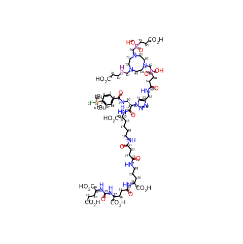 CC(C)(C)S(F)(c1ccc(C(=O)NC[C@@H](C(=O)N[C@@H](CCCCNC(=O)CCC(=O)NCCC[C@H](NC(=O)CC[C@H](NC(=O)N[C@@H](CCC(=O)O)C(=O)O)C(=O)O)C(=O)O)C(=O)O)n2cc(CNC(=O)CCP(=O)(O)CN3CCN(CPCCC(=O)O)CCN(CP(=O)(O)CCC(=O)O)CC3)nn2)cc1)C(C)(C)C